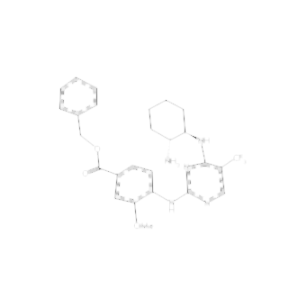 COc1cc(C(=O)OCc2ccccc2)ccc1Nc1ncc(C(F)(F)F)c(N[C@@H]2CCCC[C@H]2N)n1